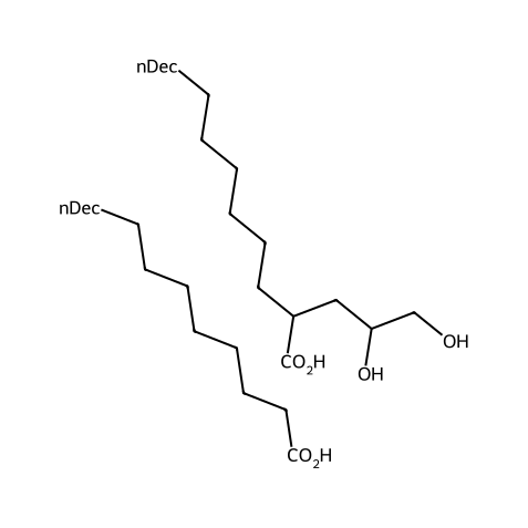 CCCCCCCCCCCCCCCCC(CC(O)CO)C(=O)O.CCCCCCCCCCCCCCCCCC(=O)O